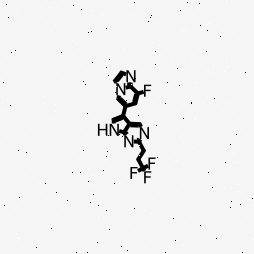 Fc1cc(-c2c[nH]c3nc(CCC(F)(F)F)ncc23)cn2ccnc12